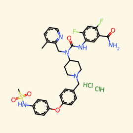 Cc1cccnc1CN(C(=O)Nc1cc(C(N)=O)c(F)cc1F)C1CCN(Cc2ccc(Oc3ccc(NS(C)(=O)=O)cc3)cc2)CC1.Cl.Cl